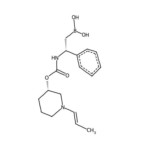 CC=CN1CCC[C@H](OC(=O)N[C@H](CB(O)O)c2ccccc2)C1